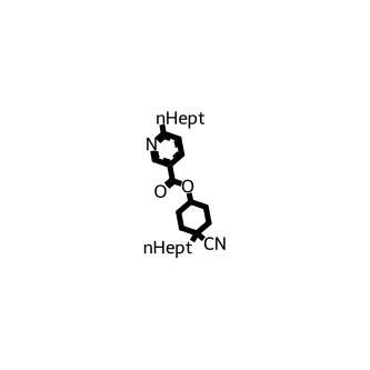 CCCCCCCc1ccc(C(=O)OC2CCC(C#N)(CCCCCCC)CC2)cn1